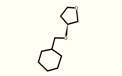 C1CCC(CO[C@H]2CCOC2)CC1